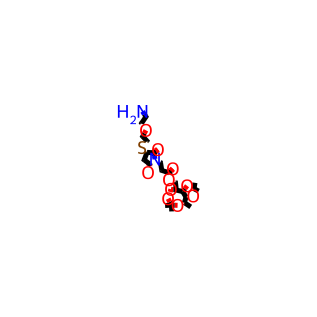 CC1OC(C)(C)OOC(COC(=O)CCN2C(=O)CC(SCCOCCN)C2=O)C2OC(C)(C)OC12